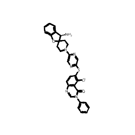 N[C@@H]1c2ccccc2OC12CCN(c1cnc(Sc3ccc4ncn(-c5ccccc5)c(=O)c4c3Cl)cn1)CC2